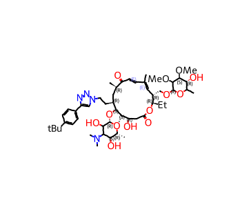 CC[C@H]1OC(=O)C[C@@H](O)[C@H](C)[C@@H](O[C@@H]2O[C@H](C)[C@@H](O)C(N(C)C)C2O)[C@@H](CCn2cc(-c3ccc(C(C)(C)C)cc3)nn2)C[C@@H](C)C(=O)/C=C/C(C)=C/[C@@H]1CO[C@@H]1OC(C)[C@@H](O)[C@H](OC)C1OC